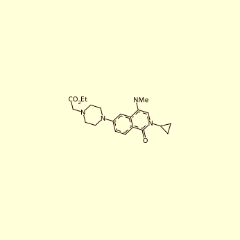 CCOC(=O)CN1CCN(c2ccc3c(=O)n(C4CC4)cc(NC)c3c2)CC1